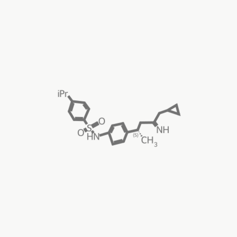 CC(C)c1ccc(S(=O)(=O)Nc2ccc([C@@H](C)CC(=N)CC3CC3)cc2)cc1